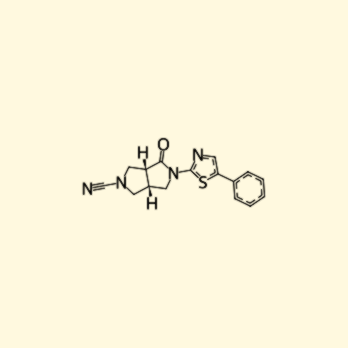 N#CN1C[C@H]2CN(c3ncc(-c4ccccc4)s3)C(=O)[C@H]2C1